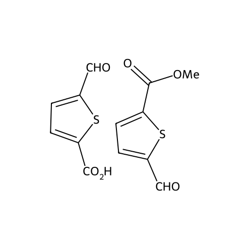 COC(=O)c1ccc(C=O)s1.O=Cc1ccc(C(=O)O)s1